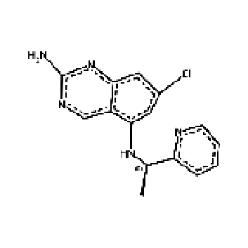 C[C@@H](Nc1cc(Cl)cc2nc(N)ncc12)c1ccccn1